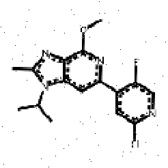 COc1nc(-c2cc(Cl)ncc2F)cc2c1nc(C)n2C(C)C